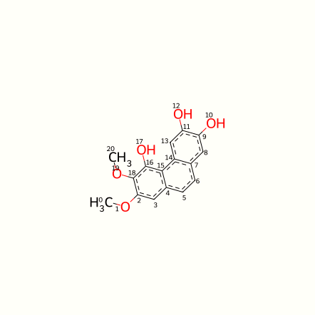 COc1cc2ccc3cc(O)c(O)cc3c2c(O)c1OC